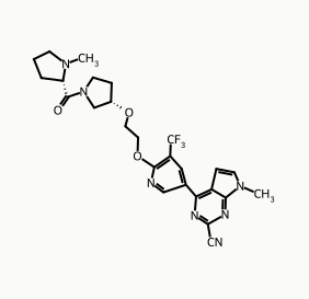 CN1CCC[C@H]1C(=O)N1CC[C@H](OCCOc2ncc(-c3nc(C#N)nc4c3ccn4C)cc2C(F)(F)F)C1